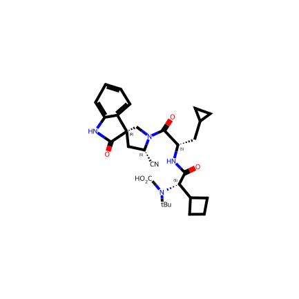 CC(C)(C)N(C(=O)O)[C@H](C(=O)N[C@@H](CC1CC1)C(=O)N1C[C@]2(C[C@H]1C#N)C(=O)Nc1ccccc12)C1CCC1